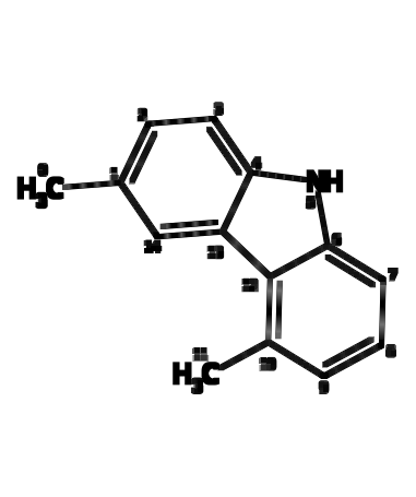 Cc1ccc2[nH]c3cccc(C)c3c2c1